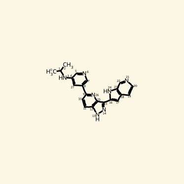 CC(C)Nc1cncc(-c2ccc3[nH]nc(-c4cc5ccncc5[nH]4)c3n2)c1